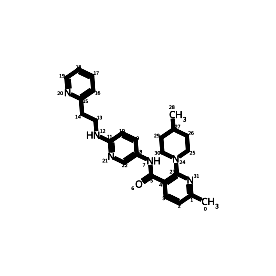 Cc1ccc(C(=O)Nc2ccc(NCCc3ccccn3)nc2)c(N2CCC(C)CC2)n1